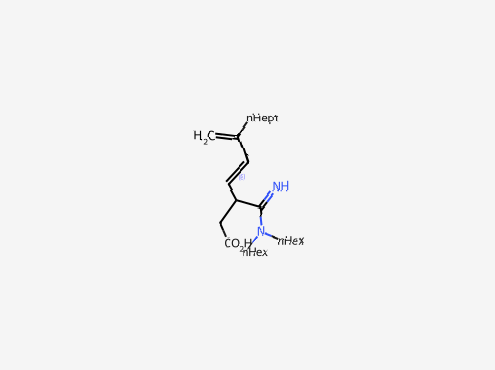 C=C(/C=C/C(CC(=O)O)C(=N)N(CCCCCC)CCCCCC)CCCCCCC